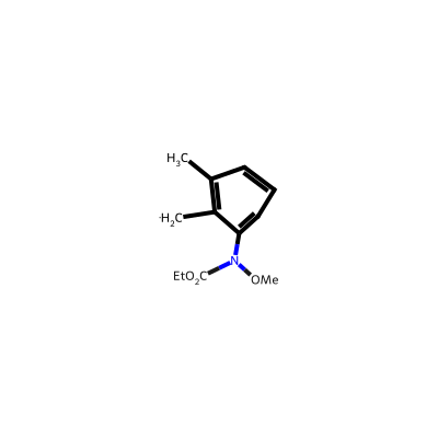 [CH2]c1c(C)cccc1N(OC)C(=O)OCC